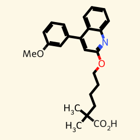 COc1cccc(-c2cc(OCCCCC(C)(C)C(=O)O)nc3ccccc23)c1